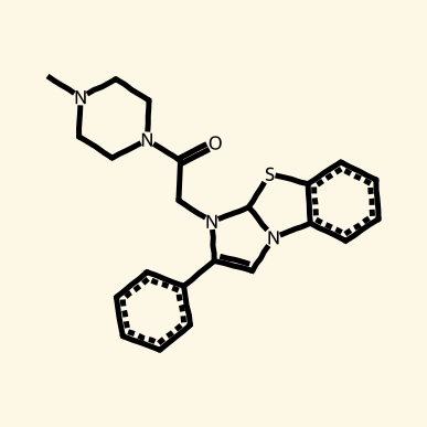 CN1CCN(C(=O)CN2C(c3ccccc3)=CN3c4ccccc4SC23)CC1